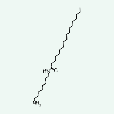 CCCCCCCCC=CCCCCCCCC(=O)NCCCCCCCCN